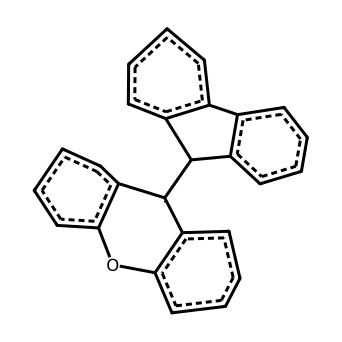 c1ccc2c(c1)Oc1ccccc1[C]2C1c2ccccc2-c2ccccc21